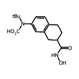 CC(C)(C)N(C(=O)O)c1ccc2c(c1)CC(C(=O)NO)CC2